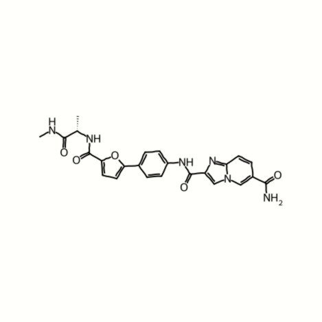 CNC(=O)[C@H](C)NC(=O)c1ccc(-c2ccc(NC(=O)c3cn4cc(C(N)=O)ccc4n3)cc2)o1